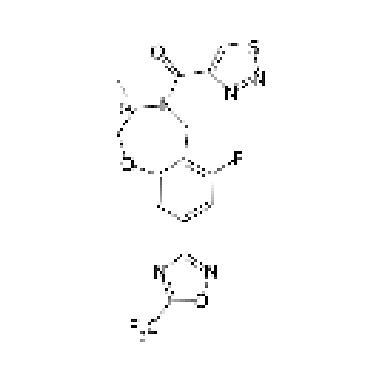 C[C@H]1COc2cc(-c3noc(C(F)(F)F)n3)cc(F)c2CN1C(=O)c1csnn1